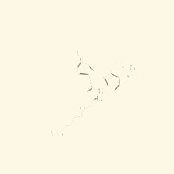 NS(=O)(=O)c1ccc(-n2nc(COCCCCO)cc2-c2ccc(F)cc2)cc1